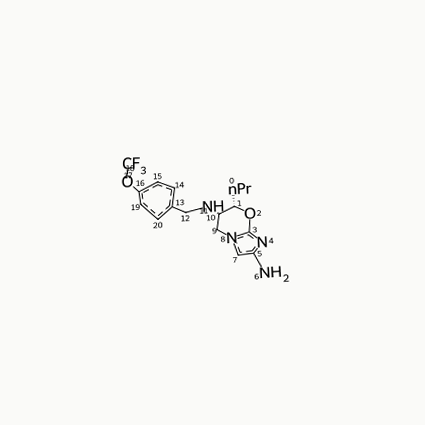 CCC[C@@H]1Oc2nc(N)cn2C[C@@H]1NCc1ccc(OC(F)(F)F)cc1